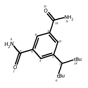 CC(C)(C)C(c1cc(C(N)=O)cc(C(N)=O)c1)C(C)(C)C